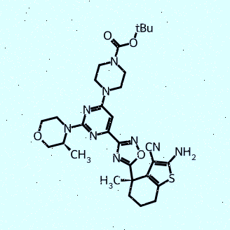 C[C@H]1COCCN1c1nc(-c2noc([C@@]3(C)CCCc4sc(N)c(C#N)c43)n2)cc(N2CCN(C(=O)OC(C)(C)C)CC2)n1